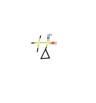 CS(C)(C)S(=N)(=O)C1CC1